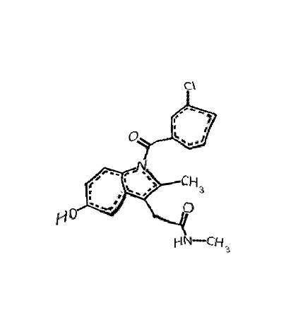 CNC(=O)Cc1c(C)n(C(=O)c2cccc(Cl)c2)c2ccc(O)cc12